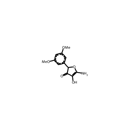 COc1cc(OC)cc(C2OC(N)=C(O)C2=O)c1